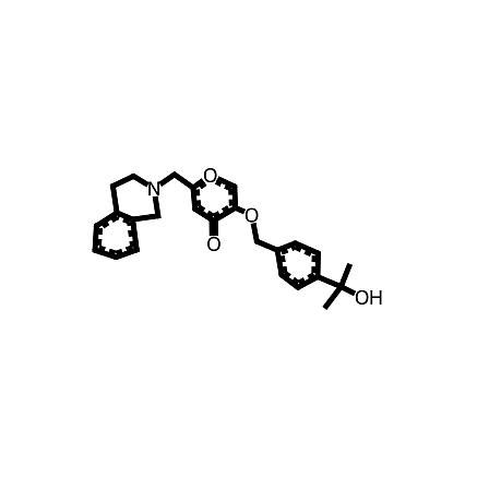 CC(C)(O)c1ccc(COc2coc(CN3CCc4ccccc4C3)cc2=O)cc1